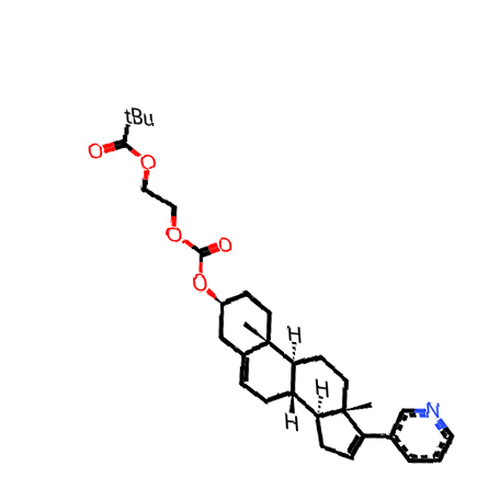 CC(C)(C)C(=O)OCCOC(=O)O[C@H]1CC[C@@]2(C)C(=CC[C@@H]3[C@@H]2CC[C@]2(C)C(c4cccnc4)=CC[C@@H]32)C1